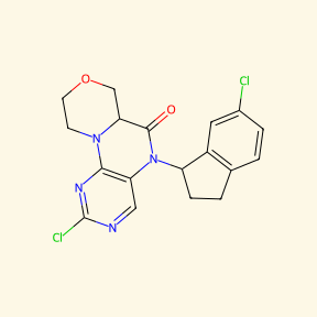 O=C1C2COCCN2c2nc(Cl)ncc2N1C1CCc2ccc(Cl)cc21